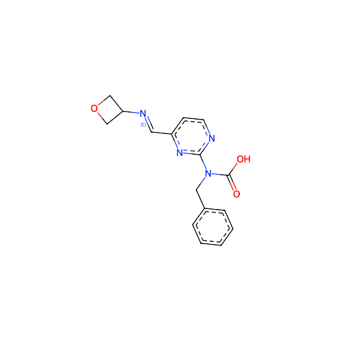 O=C(O)N(Cc1ccccc1)c1nccc(/C=N/C2COC2)n1